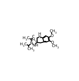 COc1cc2c(cc1OC)NCC(NN(C(C)C)C(C)C)C2